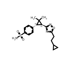 CC1(C)[C@@H](c2ccc(S(N)(=O)=O)cc2)[C@@H]1c1noc(CCC2CC2)n1